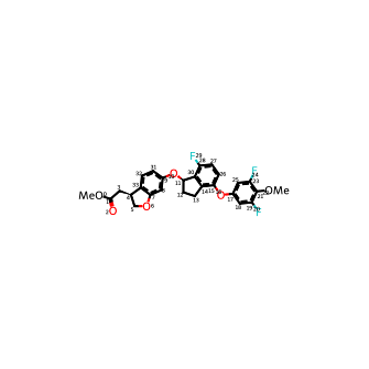 COC(=O)C[C@@H]1COc2cc(O[C@@H]3CCc4c(Oc5cc(F)c(OC)c(F)c5)ccc(F)c43)ccc21